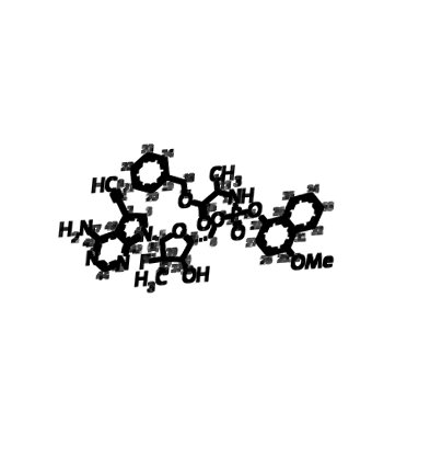 C#Cc1cn([C@@H]2O[C@H](COP(=O)(NC(C)C(=O)OCc3ccccc3)Oc3ccc(OC)c4ccccc34)[C@@H](O)[C@@]2(C)F)c2ncnc(N)c12